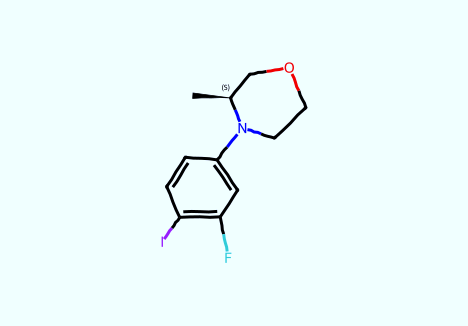 C[C@H]1COCCN1c1ccc(I)c(F)c1